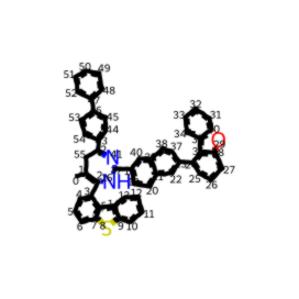 CC1=C(c2cccc3sc4ccccc4c23)NC(c2ccc3cc(-c4cccc5oc6ccccc6c45)ccc3c2)N=C(c2ccc(-c3ccccc3)cc2)C1